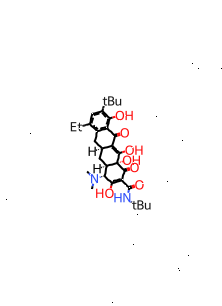 CCc1cc(C(C)(C)C)c(O)c2c1C[C@@H]1C[C@@H]3[C@@H](N(C)C)C(O)=C(C(=O)NC(C)(C)C)C(=O)[C@]3(O)C(O)=C1C2=O